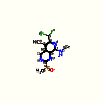 CC(C)Nc1nc(C(F)F)c(C#N)c2cnc([S+](C)[O-])nc12